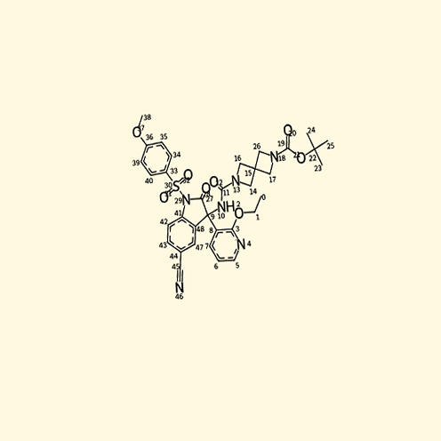 CCOc1ncccc1C1(NC(=O)N2CC3(C2)CN(C(=O)OC(C)(C)C)C3)C(=O)N(S(=O)(=O)c2ccc(OC)cc2)c2ccc(C#N)cc21